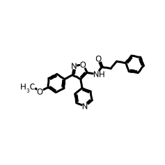 COc1ccc(-c2noc(NC(=O)CCc3ccccc3)c2-c2ccncc2)cc1